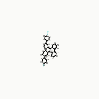 Fc1ccc(-c2ccc3c4ccc(-c5ccc(F)cc5)cc4c4c5ccccc5c5ccccc5c4c3c2)cc1